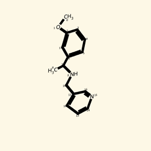 COc1cccc(C(C)NCc2cccnc2)c1